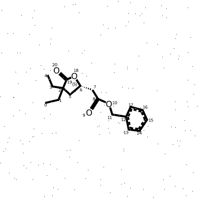 CCC1(CC)C[C@@H](CC(=O)OCc2ccccc2)OC1=O